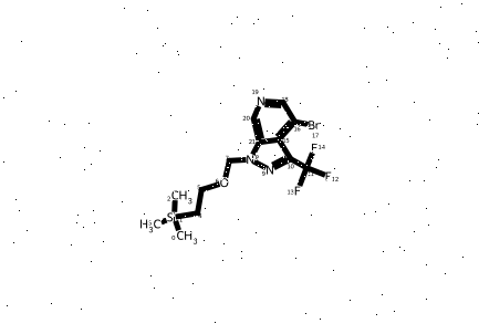 C[Si](C)(C)CCOCn1nc(C(F)(F)F)c2c(Br)cncc21